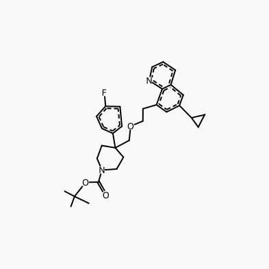 CC(C)(C)OC(=O)N1CCC(COCCc2cc(C3CC3)cc3cccnc23)(c2ccc(F)cc2)CC1